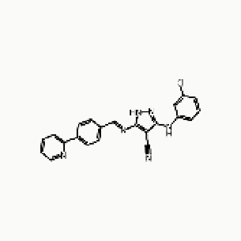 N#Cc1c(Nc2cccc(Cl)c2)n[nH]c1/N=C/c1ccc(-c2ccccn2)cc1